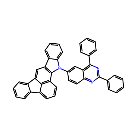 c1ccc(-c2nc(-c3ccccc3)c3cc(-n4c5ccccc5c5cc6c7c(cccc7c54)-c4ccccc4-6)ccc3n2)cc1